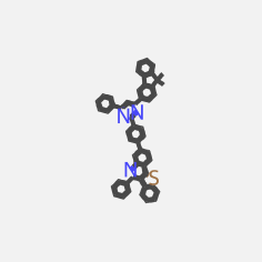 CC1(C)c2ccccc2-c2cc(-c3cc(-c4ccccc4)nc(-c4ccc(-c5ccc6c(c5)nc(-c5ccccc5)c5c7ccccc7sc65)cc4)n3)ccc21